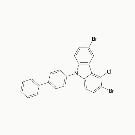 Clc1c(Br)ccc2c1c1cc(Br)ccc1n2-c1ccc(-c2ccccc2)cc1